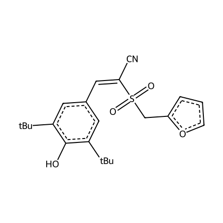 CC(C)(C)c1cc(/C=C(/C#N)S(=O)(=O)Cc2ccco2)cc(C(C)(C)C)c1O